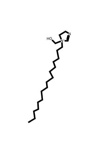 CCCCCCCCCCCCCCCC[N+]1(CO)C=NCC1